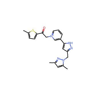 Cc1cc(C)n(Cc2cc(-c3ccc[n+](CC(=O)c4ccc(C)s4)c3)[nH]n2)n1